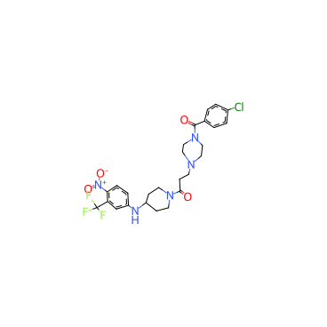 O=C(CCN1CCN(C(=O)c2ccc(Cl)cc2)CC1)N1CCC(Nc2ccc([N+](=O)[O-])c(C(F)(F)F)c2)CC1